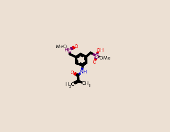 C=C(C)C(=O)Nc1cc(C[PH](=O)OC)cc(CP(=O)(O)OC)c1